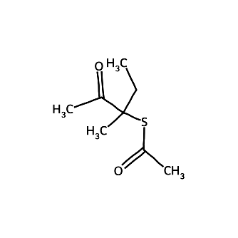 CCC(C)(SC(C)=O)C(C)=O